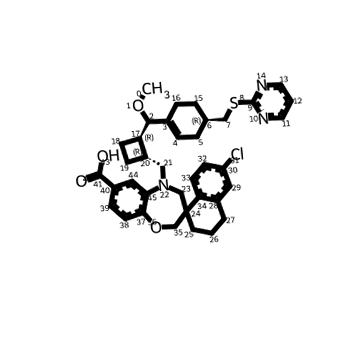 COC(C1=CC[C@H](CSc2ncccn2)CC1)[C@@H]1CC[C@H]1CN1CC2(CCCc3cc(Cl)ccc32)COc2ccc(C(=O)O)cc21